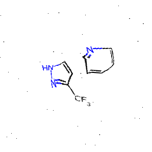 FC(F)(F)c1cc[nH]n1.c1ccncc1